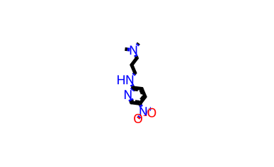 CN(C)CCCNc1ccc([N+](=O)[O-])cn1